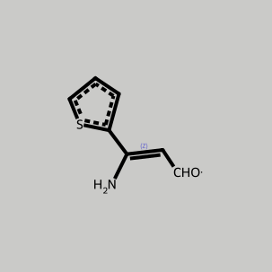 N/C(=C\[C]=O)c1cccs1